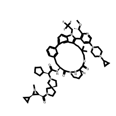 CO[C@@H](C)c1ncc(N2CCN(C3CC3)CC2)cc1-c1c2c3cc(ccc3n1CC(F)(F)F)-c1cccc(c1)C[C@H](NC(=O)[C@H](C1CCCC1)N1CC[C@]3(CCN(C(=O)[C@H]4[C@@H](C5CC5)N4C)C3)C1)C(=O)N1CCC[C@H](N1)C(=O)OCC(C)(C)C2